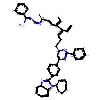 C=CC(=C\CC[C@@H]1C=C(c2ccc(C3=NC4C=CC=CC4N3C3C=CC=CCC3)cc2)N=C(c2ccccc2)N1)/C(/C=C/[C@H](C)/N=C\N=C(/N)c1ccccc1)=C/C